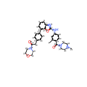 Cc1cc(Nc2nc3cccc(-c4ccc(CC(=O)N5CCOCC5)cc4)c3o2)ccc1C(=O)N1CCN(C)CC1